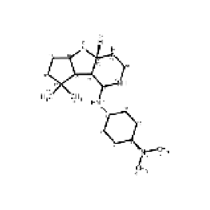 CN(C)[C@H]1CC[C@H](NC2NCN[C@H]3SC4CCC(C)(C)C4C23)CC1